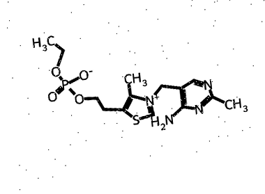 CCOP(=O)([O-])OCCc1sc[n+](Cc2cnc(C)nc2N)c1C